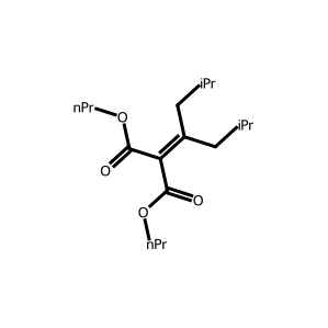 CCCOC(=O)C(C(=O)OCCC)=C(CC(C)C)CC(C)C